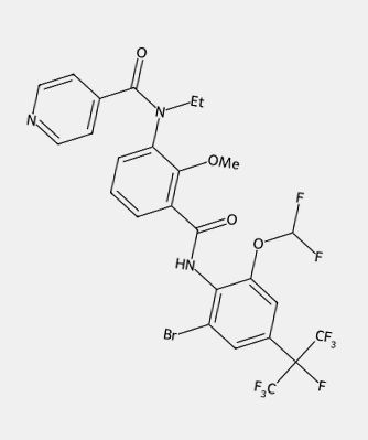 CCN(C(=O)c1ccncc1)c1cccc(C(=O)Nc2c(Br)cc(C(F)(C(F)(F)F)C(F)(F)F)cc2OC(F)F)c1OC